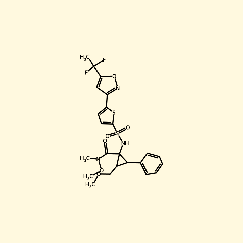 COCC1C(c2ccccc2)C1(NS(=O)(=O)c1ccc(-c2cc(C(C)(F)F)on2)s1)C(=O)N(C)OC